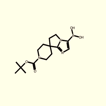 CC(C)(C)OC(=O)N1CCC2(CC1)CCn1c(B(O)O)cnc12